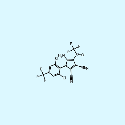 N#Cc1c([S+]([O-])C(F)(F)F)c(N)n(-c2c(Cl)cc(C(F)(F)F)cc2Cl)c1C#N